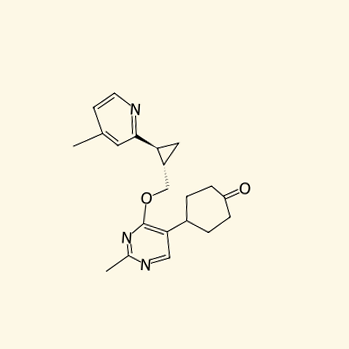 Cc1ccnc([C@H]2C[C@@H]2COc2nc(C)ncc2C2CCC(=O)CC2)c1